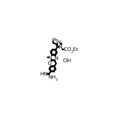 CCOC(=O)Cn1cnc(CC(C)C)c1-c1ccc2c(c1)nc(Cc1ccc(C(=N)N)cc1)c(=O)n2C.Cl